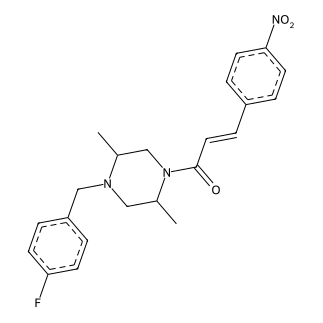 CC1CN(C(=O)C=Cc2ccc([N+](=O)[O-])cc2)C(C)CN1Cc1ccc(F)cc1